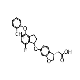 Cc1ccccc1Oc1ccc(F)c2c1CC[C@H]2Oc1ccc2c(c1)OC[C@H]2CC(=O)O